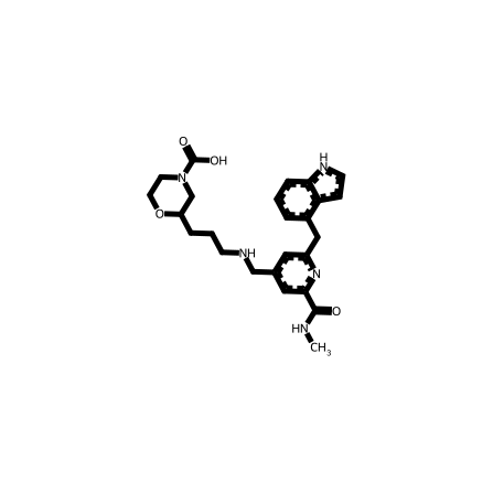 CNC(=O)c1cc(CNCCCC2CN(C(=O)O)CCO2)cc(Cc2cccc3[nH]ccc23)n1